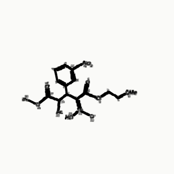 COCCOC(=O)/C(C(c1cccc([N+](=O)[O-])c1)C(C(C)=O)C(=O)OC(C)C)=[N+](\[O-])O